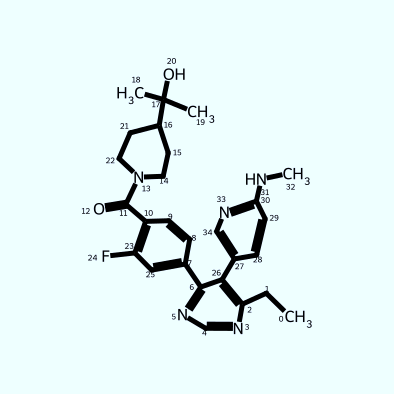 CCc1ncnc(-c2ccc(C(=O)N3CCC(C(C)(C)O)CC3)c(F)c2)c1-c1ccc(NC)nc1